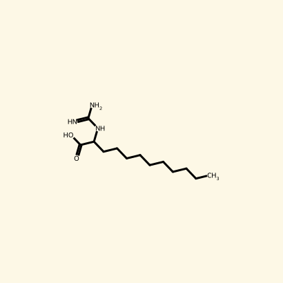 CCCCCCCCCCC(NC(=N)N)C(=O)O